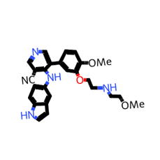 COCCNCCOc1cc(-c2cncc(C#N)c2Nc2ccc3[nH]ccc3c2)ccc1OC